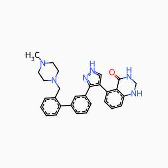 CN1CCN(Cc2ccccc2-c2cccc(-c3n[nH]cc3-c3cccc4c3C(=O)NCN4)c2)CC1